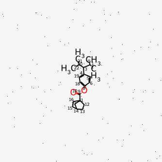 CC(C)C(c1ccc(OC(=O)C23CCC(CC2)C3)cc1)C(C)C